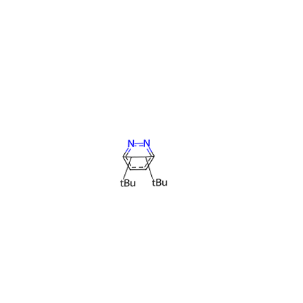 CC(C)(C)C1c2ccc(nn2)C1C(C)(C)C